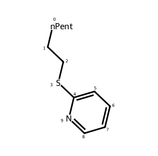 CCCCCCCSc1ccccn1